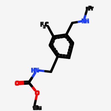 CCCNCc1ccc(CNC(=O)OC(C)(C)C)cc1C(F)(F)F